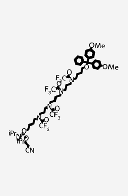 COc1ccc(C(OCCCCN(CCCN(CCCCN(CCCN(CCCCOP(OCCC#N)N(C(C)C)C(C)C)C(=O)C(F)(F)F)C(=O)C(F)(F)F)C(=O)C(F)(F)F)C(=O)C(F)(F)F)(c2ccccc2)c2ccc(OC)cc2)cc1